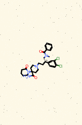 CN(C[C@@H](CCN1CCC(C(N)=O)(N2CCCCC2=O)CC1)c1ccc(Cl)c(Cl)c1)C(=O)c1ccccc1